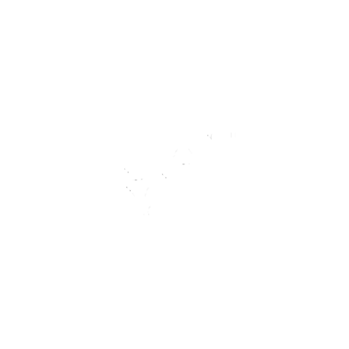 CCN1CCc2ccc(CNCc3cc(N4CC(OC)C4)ncc3C=O)cc2CC1